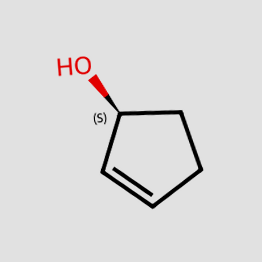 O[C@@H]1C=CCC1